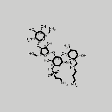 NCCCNC[C@H]1O[C@H](O[C@H]2[C@H](O[C@@H]3O[C@H](CO)[C@@H](O[C@H]4O[C@@H](CN)[C@@H](O)[C@H](O)[C@H]4N)[C@H]3O)[C@@H](O)[C@H](NS(=O)(=O)CCN)C[C@@H]2N)[C@H](N)C[C@@H]1O